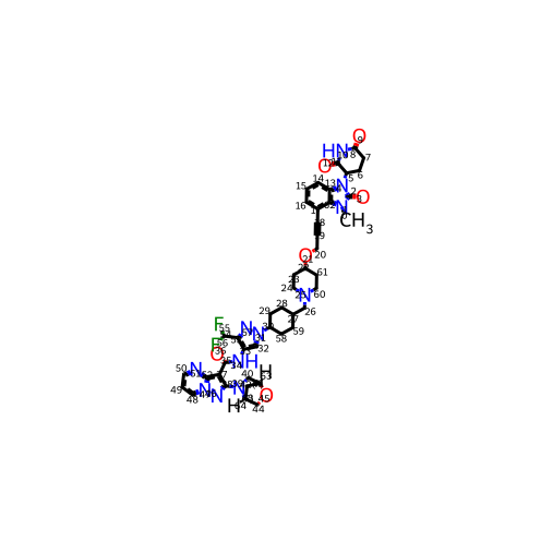 Cn1c(=O)n(C2CCC(=O)NC2=O)c2cccc(C#CCOC3CCN(CC4CCC(n5cc(NC(=O)c6c(N7C[C@H]8C[C@@H]7CO8)nn7cccnc67)c(C(F)F)n5)CC4)CC3)c21